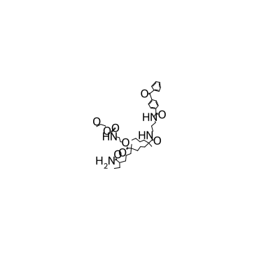 CCCCC(C)(CCCC(C)(CCCC(CC)C(N)=O)C(=O)OCCNC(=O)OCC1CO1)C(=O)NCCCNC(=O)c1ccc(C(=O)c2ccccc2)cc1